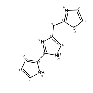 c1c[nH]c(-c2nc(Cc3nccs3)c[nH]2)n1